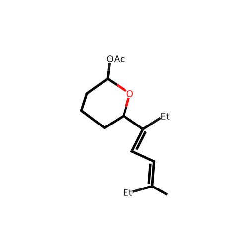 CC/C(C)=C\C=C(/CC)C1CCCC(OC(C)=O)O1